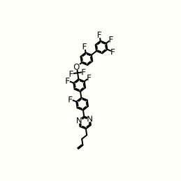 C=CCCc1cnc(-c2ccc(-c3cc(F)c(C(F)(F)Oc4ccc(-c5cc(F)c(F)c(F)c5)c(F)c4)c(F)c3)c(F)c2)nc1